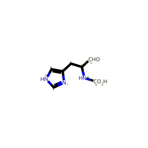 O=CC(Cc1c[nH]cn1)NC(=O)O